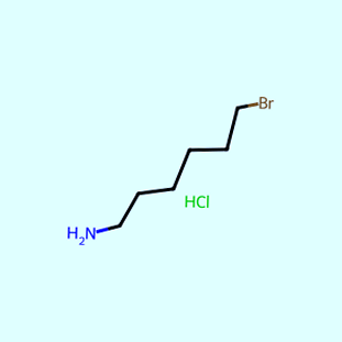 Cl.NCCCCCCBr